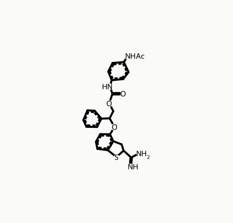 CC(=O)Nc1ccc(NC(=O)OCC(Oc2cccc3c2CC(C(=N)N)S3)c2ccccc2)cc1